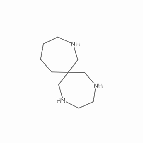 C1CCC2(CNC1)CNCCNC2